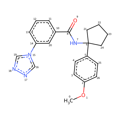 COc1ccc(C2(NC(=O)c3cccc(-n4cnnc4)c3)CCCC2)cc1